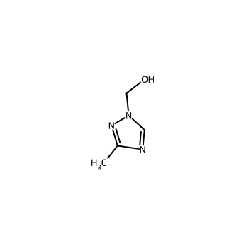 Cc1ncn(CO)n1